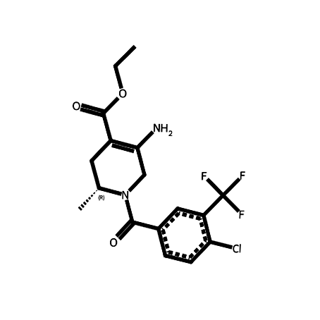 CCOC(=O)C1=C(N)CN(C(=O)c2ccc(Cl)c(C(F)(F)F)c2)[C@H](C)C1